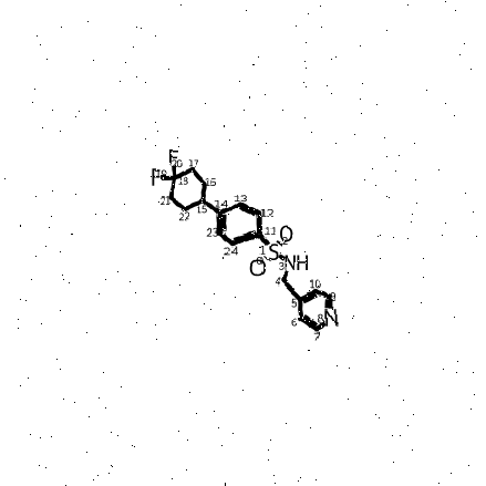 O=S(=O)(NCc1ccncc1)c1ccc(C2CCC(F)(F)CC2)cc1